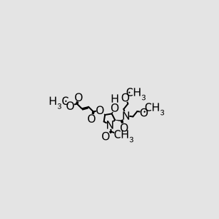 COCCN(CCOC)C(=O)[C@@H]1[C@H](O)[C@@H](OC(=O)/C=C/C(=O)OC)CN1C(C)=O